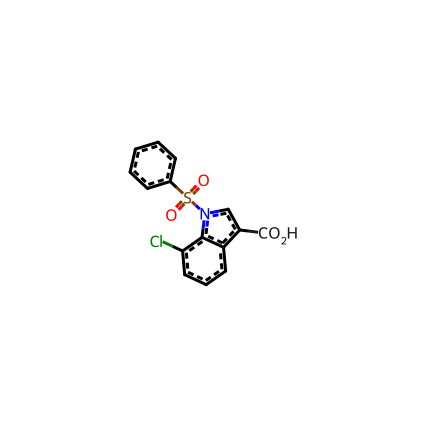 O=C(O)c1cn(S(=O)(=O)c2ccccc2)c2c(Cl)cccc12